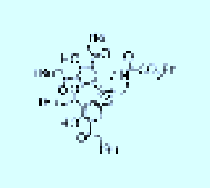 CCOC(=O)C(=O)N1CCC(Sc2cc(C(=O)CC(C)(C)C)c(O)c(C(=O)CC(C)(C)C)c2)(Sc2cc(C(=O)CC(C)(C)C)c(O)c(C(=O)CC(C)(C)C)c2)CC1